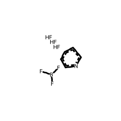 F.F.F.FB(F)F.c1ccncc1